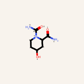 NC(=O)C1CC(O)CCN1C(N)=O